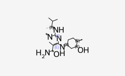 C=N/C(=N\C(N[C@@H]1CC[C@@H](C)[C@H](O)C1)=C(/C)C(N)=O)N[C@H](C)C(C)C